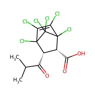 CC(C)C(=O)[C@H]1[C@@H](C(=O)O)C2(Cl)C(Cl)=C(Cl)C1(Cl)C2(Cl)Cl